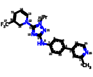 Cc1cc(-c2ccc(Nc3nc(N4C=CC=C(C(F)(F)F)C4)n(C(C)C)n3)cc2)ccn1